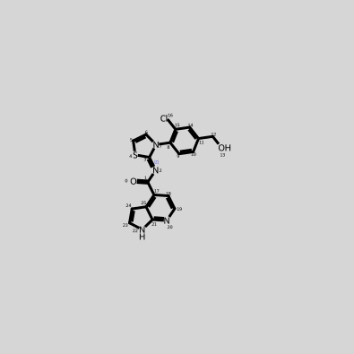 O=C(/N=c1\sccn1-c1ccc(CO)cc1Cl)c1ccnc2[nH]ccc12